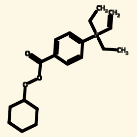 C=C[Si](CC)(CC)c1ccc(C(=O)OO[C]2CCCCC2)cc1